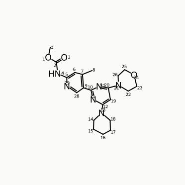 COC(=O)Nc1cc(C)c(-c2nc(N3CCCCC3)cc(N3CCOCC3)n2)cn1